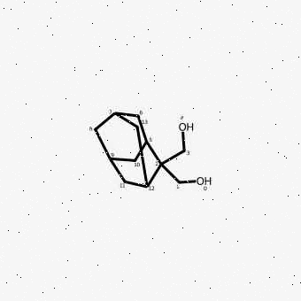 OCC1(CO)C2CC3CC(C2)CC1C3